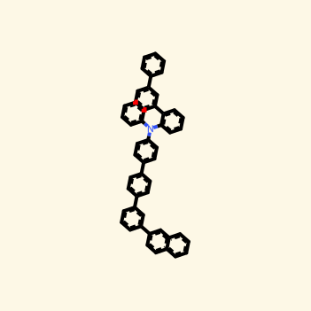 c1ccc(-c2cccc(-c3ccccc3N(c3ccccc3)c3ccc(-c4ccc(-c5cccc(-c6ccc7ccccc7c6)c5)cc4)cc3)c2)cc1